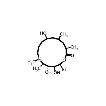 CC[C@@H]1OC(=O)[C@H](C)CC(C)C[C@H](O)CCCN(C)[C@H](C)[C@@H](O)[C@@H]1O